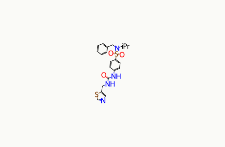 CC(C)N(Cc1ccccc1)S(=O)(=O)c1ccc(NC(=O)NCc2cncs2)cc1